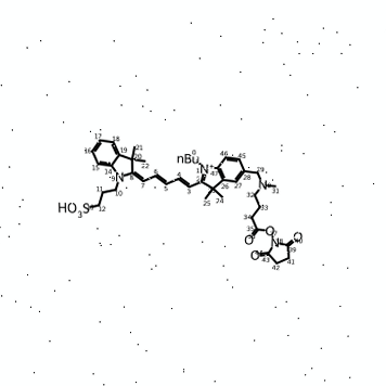 CCCC[N+]1=C(/C=C/C=C/C=C2/N(CCCS(=O)(=O)O)c3ccccc3C2(C)C)C(C)(C)c2cc(CN(C)CCCC(=O)ON3C(=O)CCC3=O)ccc21